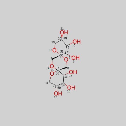 OC1C(O)[C@@]2(CO[C@@]3(CO2)OC[C@@H](O)C(O)C3O)OC[C@H]1O